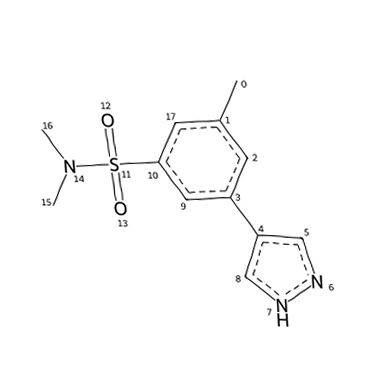 Cc1cc(-c2cn[nH]c2)cc(S(=O)(=O)N(C)C)c1